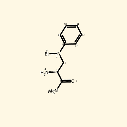 CCN(C[C@H](N)C(=O)NC)c1ccccc1